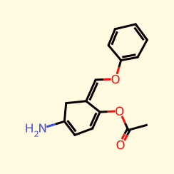 CC(=O)OC1=CC=C(N)CC1=COc1ccccc1